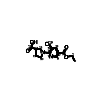 CCOC(=O)c1cnc(N2CCC(C(=O)O)C2)c(Cl)c1